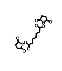 O=C(CCCCCC(=O)ON1C(=O)CCC1=O)ON1C(=O)CCC1=O